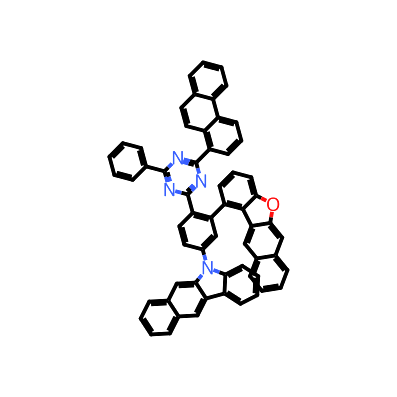 c1ccc(-c2nc(-c3ccc(-n4c5ccccc5c5cc6ccccc6cc54)cc3-c3cccc4oc5cc6ccccc6cc5c34)nc(-c3cccc4c3ccc3ccccc34)n2)cc1